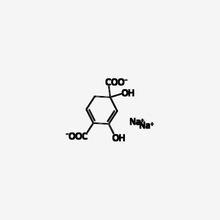 O=C([O-])C1=CCC(O)(C(=O)[O-])C=C1O.[Na+].[Na+]